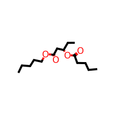 CCCCCOC(=O)CC(CC)OC(=O)CCCC